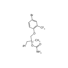 CC(C)C[C@@](C)(COc1ccc(Br)cc1C(F)(F)F)OC(N)=O